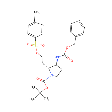 Cc1ccc(S(=O)(=O)OCC[C@@H]2[C@@H](NC(=O)OCc3ccccc3)CCN2C(=O)OC(C)(C)C)cc1